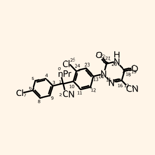 CCCC(C#N)(c1ccc(Cl)cc1)c1ccc(-n2nc(C#N)c(=O)[nH]c2=O)cc1Cl